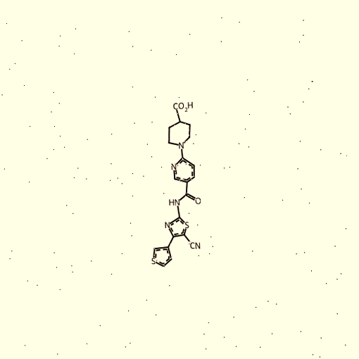 N#Cc1sc(NC(=O)c2ccc(N3CCC(C(=O)O)CC3)nc2)nc1-c1ccsc1